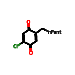 CCCCCCC1=CC(=O)C(Cl)=CC1=O